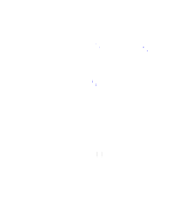 CCOc1ccccc1-c1cnc(-c2ccccn2)[nH]1